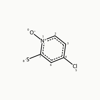 [O-][n+]1ccc(Cl)cc1[S]